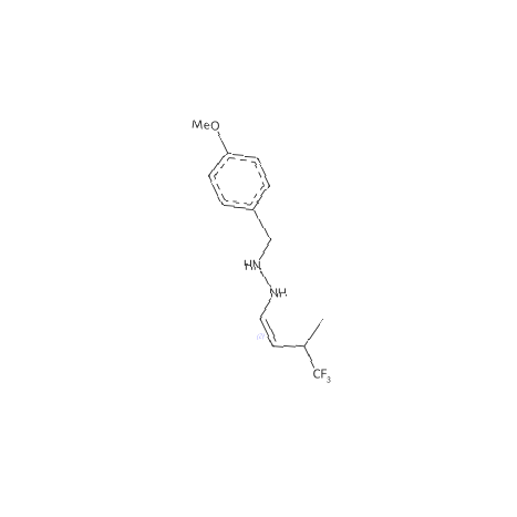 COc1ccc(CNN/C=C\C(C)C(F)(F)F)cc1